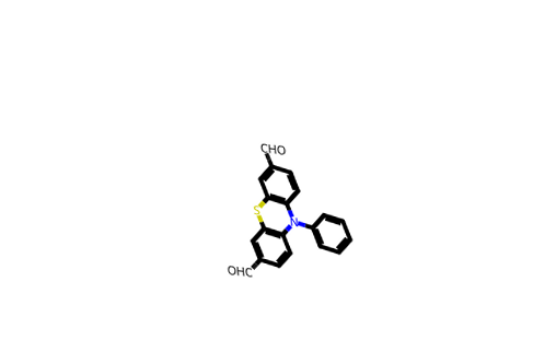 O=Cc1ccc2c(c1)Sc1cc(C=O)ccc1N2c1ccccc1